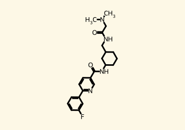 CN(C)CC(=O)NCC1CCCC(NC(=O)c2ccc(-c3cccc(F)c3)nc2)C1